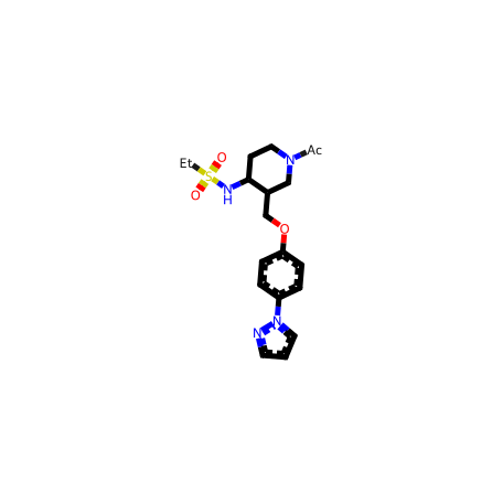 CCS(=O)(=O)NC1CCN(C(C)=O)CC1COc1ccc(-n2cccn2)cc1